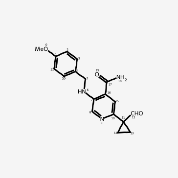 COc1ccc(CNc2cnc(C3(C=O)CC3)cc2C(N)=O)cc1